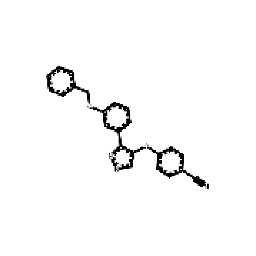 N#Cc1ccc(Oc2cn[nH]c2-c2cccc(OCc3ccccc3)c2)cc1